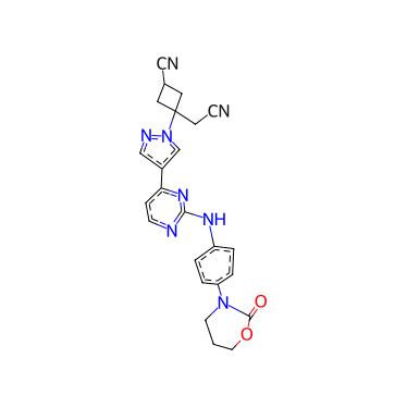 N#CCC1(n2cc(-c3ccnc(Nc4ccc(N5CCCOC5=O)cc4)n3)cn2)CC(C#N)C1